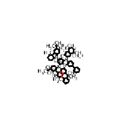 Cc1cc2c(cc1N1c3ccc(-c4ccccc4)cc3B3c4cc5c(cc4N(c4ccc(C(C)(C)C)cc4-c4ccccc4)c4cc(N6c7ccc(C(C)(C)C)cc7C7(C)CCCCC67C)cc1c43)C(C)(C)c1ccccc1C5(C)C)C(C)(C)CCC2(C)C